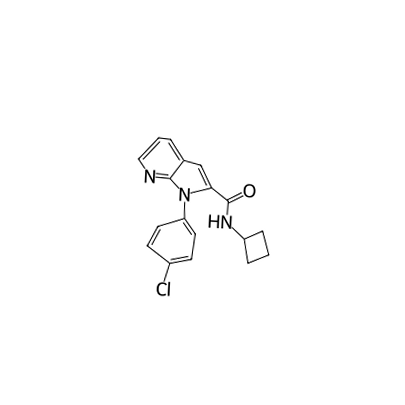 O=C(NC1CCC1)c1cc2cccnc2n1-c1ccc(Cl)cc1